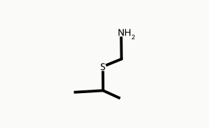 CC(C)SCN